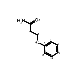 NC(=O)C[CH]Oc1ccccc1